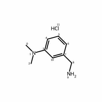 CN(C)c1cccc(CN)c1.Cl